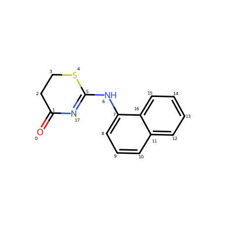 O=C1CCSC(Nc2cccc3ccccc23)=N1